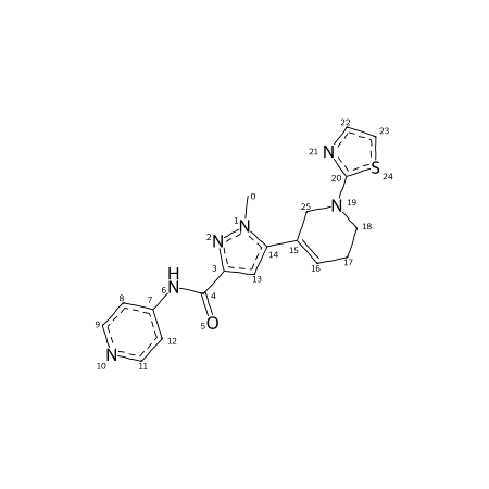 Cn1nc(C(=O)Nc2ccncc2)cc1C1=CCCN(c2nccs2)C1